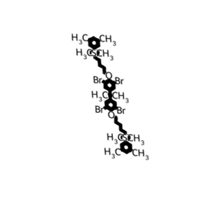 Cc1cc(C)cc([Si](C)(C)CCCCCOc2c(Br)cc(C(C)(C)c3cc(Br)c(OCCCCC[Si](C)(C)c4cc(C)cc(C)c4)c(Br)c3)cc2Br)c1